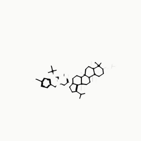 CC(C)C1=C2[C@H]3CC[C@@H]4[C@@]5(C)CC[C@H](O)C(C)(C)[C@@H]5CC[C@@]4(C)[C@]3(C)CC[C@@]2(C(=O)CN(Cc2ccc(Cl)cc2)C(=O)OC(C)(C)C)CC1